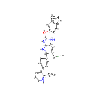 COc1ncccc1-c1ccc(-c2nc3nc(Oc4ccc(C)c(C(=O)O)c4)[nH]c3cc2CF)cc1